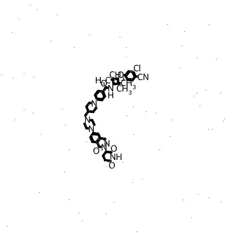 CC1(C)[C@H](NC(=O)c2ccc(N3CCC(CN4CCN(c5ccc6c(=O)n([C@H]7CCC(=O)NC7=O)ncc6c5)CC4)CC3)cc2)C(C)(C)[C@H]1Oc1ccc(C#N)c(Cl)c1